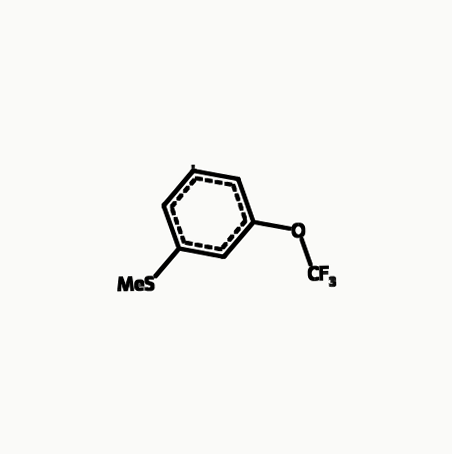 CSc1c[c]cc(OC(F)(F)F)c1